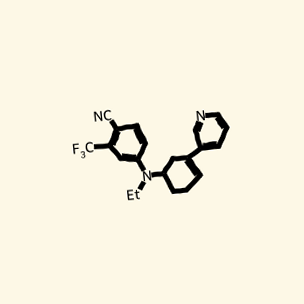 CCN(c1ccc(C#N)c(C(F)(F)F)c1)C1CCC=C(c2cccnc2)C1